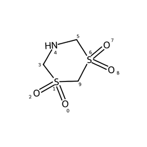 O=S1(=O)CNCS(=O)(=O)C1